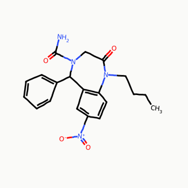 CCCCN1C(=O)CN(C(N)=O)C(c2ccccc2)c2cc([N+](=O)[O-])ccc21